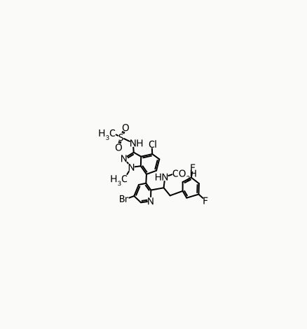 Cn1nc(NS(C)(=O)=O)c2c(Cl)ccc(-c3cc(Br)cnc3C(Cc3cc(F)cc(F)c3)NC(=O)O)c21